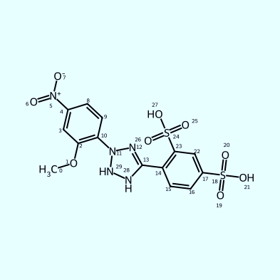 COc1cc([N+](=O)[O-])ccc1N1N=C(c2ccc(S(=O)(=O)O)cc2S(=O)(=O)O)NN1